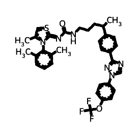 Cc1cccc(C)c1-n1c(C)cs/c1=N\C(=O)NCCCC(C)c1ccc(-c2ncn(-c3ccc(OC(F)(F)F)cc3)n2)cc1